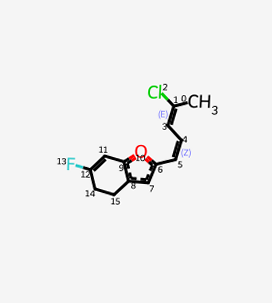 C/C(Cl)=C\C=C/c1cc2c(o1)C=C(F)CC2